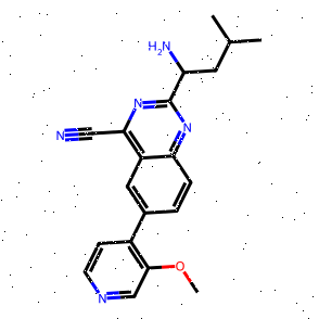 COc1cnccc1-c1ccc2nc(C(N)CC(C)C)nc(C#N)c2c1